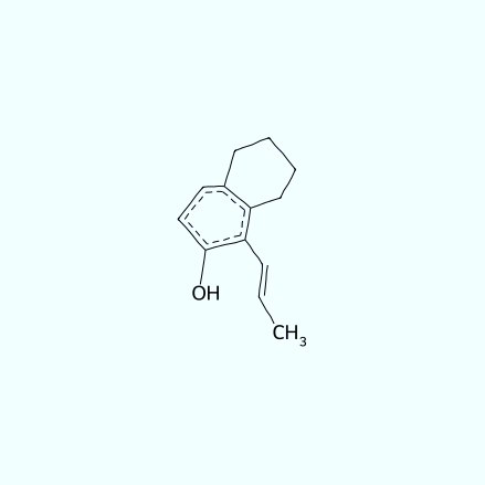 CC=Cc1c(O)ccc2c1CCCC2